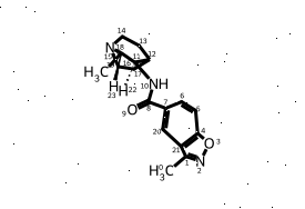 Cc1noc2ccc(C(=O)N[C@@H]3C4CCN(CC4)[C@H]3C)cc12